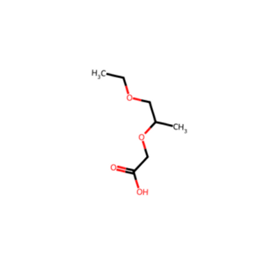 CCOCC(C)OCC(=O)O